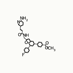 COC(=O)c1ccc(-c2cc(-c3ccc(F)cc3)c3oc(CNC(=O)C=Cc4ccc(N)nc4)cc3c2)cc1